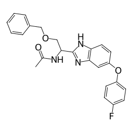 CC(=O)NC(COCc1ccccc1)c1nc2cc(Oc3ccc(F)cc3)ccc2[nH]1